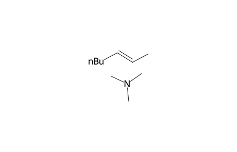 CC=CCCCC.CN(C)C